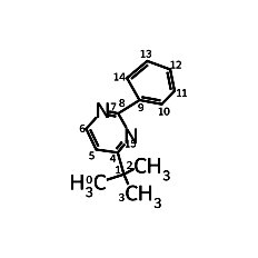 CC(C)(C)c1ccnc(-c2ccccc2)n1